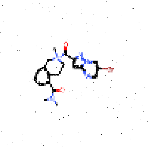 CN(C)C(=O)c1cccc2c1CC[N+](C)(C(=O)c1cc3ncc(Br)cn3n1)C2